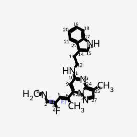 C=N/C=C(F)\C=C(/C)c1cc(NCCc2c[nH]c3ccccc23)nc2c(C)cnn12